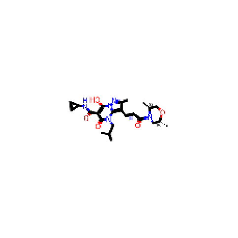 Cc1nn2c(O)c(C(=O)NC3CC3)c(=O)n(CC(C)C)c2c1/C=C/C(=O)N1C[C@@H](C)OC[C@@H]1C